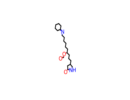 O=COC(CCCCCCN=C1CCCCC1)CCCC1CNC(=O)C1